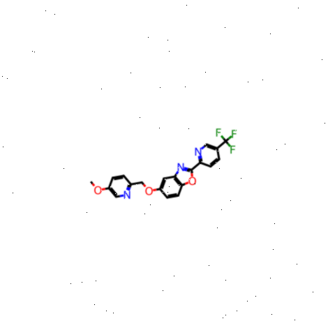 COc1ccc(COc2ccc3oc(-c4ccc(C(F)(F)F)cn4)nc3c2)nc1